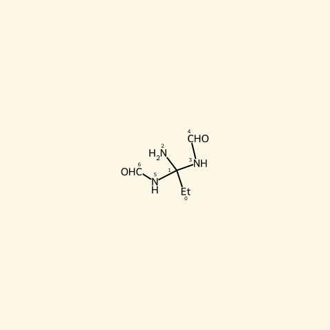 CCC(N)(NC=O)NC=O